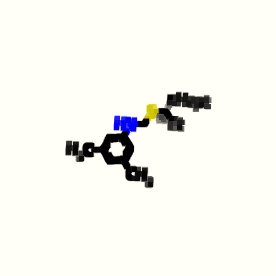 CCCCCCC[C@H](CC)SCNc1cc(C)cc(C)c1